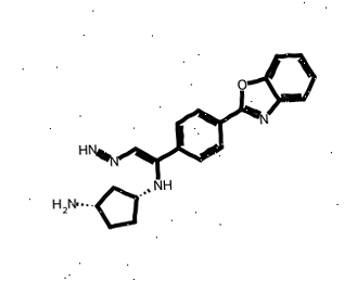 N=N/C=C(\N[C@@H]1CC[C@H](N)C1)c1ccc(-c2nc3ccccc3o2)cc1